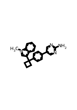 Cn1cc(C2(c3ccc(-c4cnc(N)nc4)cc3)CCC2)c2ccccc21